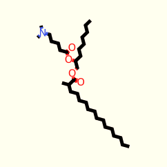 CCCCCCCCCCCCCCC(C)C(=O)OCC(CCCCCCC)OC(=O)CCCCN(C)C